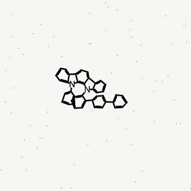 c1ccc(-c2ccc(-c3ccccc3-n3c4ccccc4c4ccc5c6ccccc6n(-c6ccccc6)c5c43)cc2)cc1